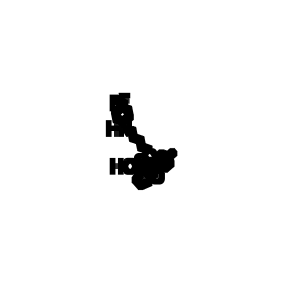 Cc1ccc(S(=O)(=O)N2CCC[C@H]2C(=O)O)c(OCCCCCNC2CCC(F)(F)CC2)c1